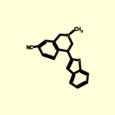 CN1Cc2cc(C#N)ccc2C(c2cc3ccccc3s2)C1